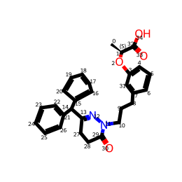 C[C@H](Oc1cccc(CCCN2N=C(C(c3ccccc3)c3ccccc3)CCC2=O)c1)C(=O)O